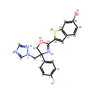 Fc1ccc(C2(Cn3cncn3)COC(c3cc4ccc(Br)cc4s3)=N2)cc1